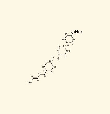 CCCCCCc1ccc([C@H]2CC[C@H](CC[C@H]3CC[C@H](CCC=CF)CC3)CC2)cc1